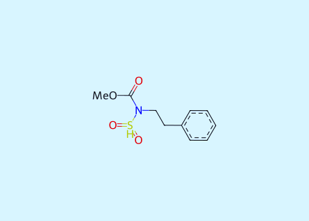 COC(=O)N(CCc1ccccc1)[SH](=O)=O